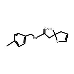 CC(=O)NC1(CC(=O)NCc2ccc(F)cc2)CC=CO1